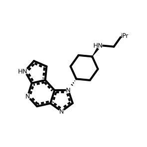 CC(C)CN[C@H]1CC[C@H](n2cnc3cnc4[nH]ccc4c32)CC1